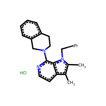 Cc1c(C)n(CC(C)C)c2c(N3CCc4ccccc4C3)nccc12.Cl